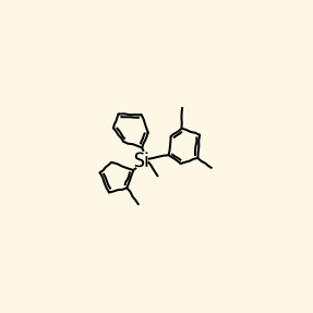 CC1=C([Si](C)(c2ccccc2)c2cc(C)cc(C)c2)CC=C1